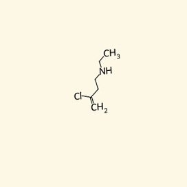 C=C(Cl)CCNCC